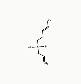 C=CC[Si](CCC)(CCC)CCC=NCCCCCCCC